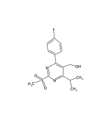 CC(C)c1nc(S(C)(=O)=O)nc(-c2ccc(F)cc2)c1CO